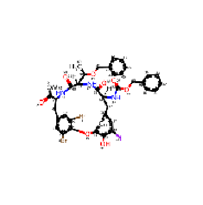 COC(=O)C1Cc2cc(Br)c(c(Br)c2)Oc2cc(cc(I)c2O)C[C@H](NC(=O)OCc2ccccc2)C(=O)N[C@@H](C(C)OCc2ccccc2)C(=O)N1